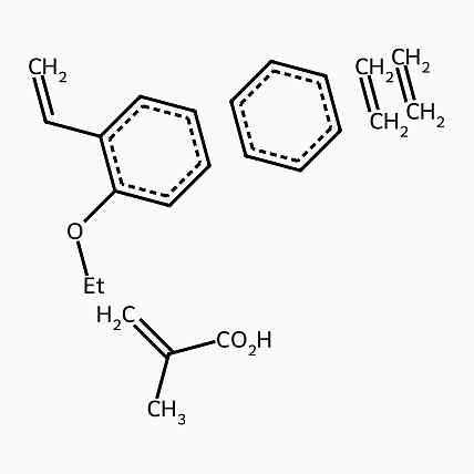 C=C.C=C.C=C(C)C(=O)O.C=Cc1ccccc1OCC.c1ccccc1